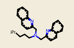 CC(C)CCCN(Cc1ccc2ccccc2n1)Cc1ccc2ccccc2n1